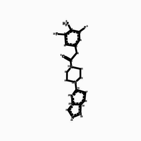 O=C(Cc1cc(F)c(P)c(F)c1)N1CCN(c2ccc3nncn3n2)CC1